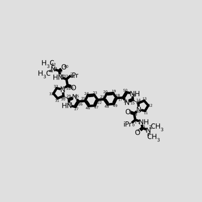 CC(C)C(NC(=O)N(C)C)C(=O)N1CCC[C@H]1c1nc(-c2ccc(-c3ccc(-c4c[nH]c([C@@H]5CCCN5C(=O)C(NC(=O)N(C)C)C(C)C)n4)cc3)cc2)c[nH]1